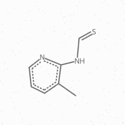 Cc1cccnc1NC=S